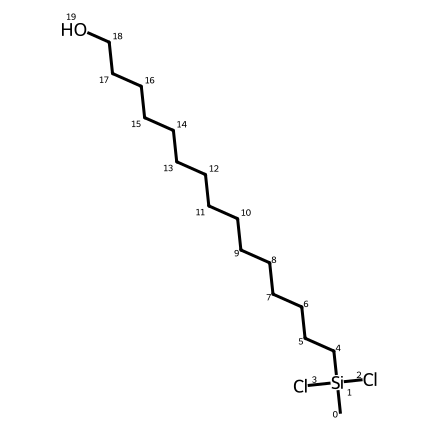 C[Si](Cl)(Cl)CCCCCCCCCCCCCCCO